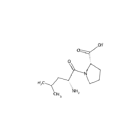 CC(C)C[C@@H](N)C(=O)N1CCC[C@H]1C(=O)O